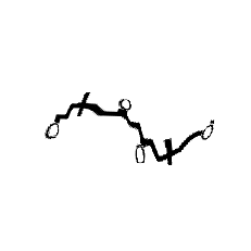 COCCC(C)(C)CCC(=O)CCC(=O)CCC(C)(C)CCC=O